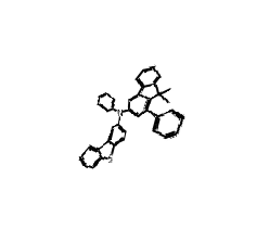 CC1(C)c2ccccc2-c2cc(N(c3ccccc3)c3ccc4sc5ccccc5c4c3)cc(-c3ccccc3)c21